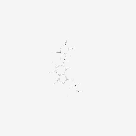 [2H]c1c(C([2H])([2H])[C@]2([2H])N([2H])C(=O)OC2([2H])[2H])c([2H])c2c(CC([2H])([2H])N(C)C)cn([2H])c2c1[2H]